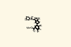 COC(=O)c1cc(-c2ccc3[nH]nc(NC(=O)[C@@H]4CCCNC4)c3c2)c(F)cc1F